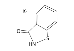 O=c1[nH]sc2ccccc12.[K]